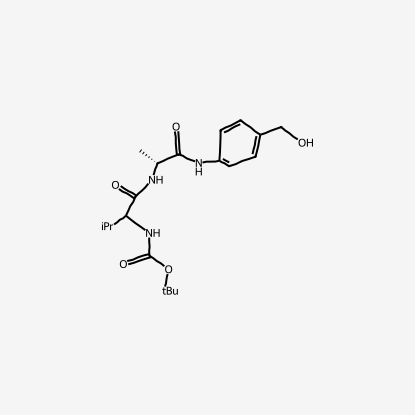 CC(C)C(NC(=O)OC(C)(C)C)C(=O)N[C@H](C)C(=O)Nc1ccc(CO)cc1